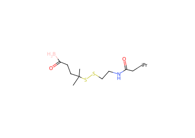 BC(=O)CCC(C)(C)SSCCNC(=O)CC(C)C